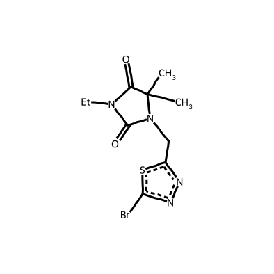 CCN1C(=O)N(Cc2nnc(Br)s2)C(C)(C)C1=O